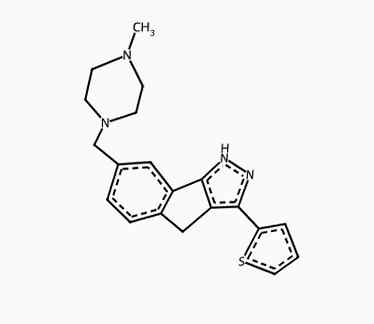 CN1CCN(Cc2ccc3c(c2)-c2[nH]nc(-c4cccs4)c2C3)CC1